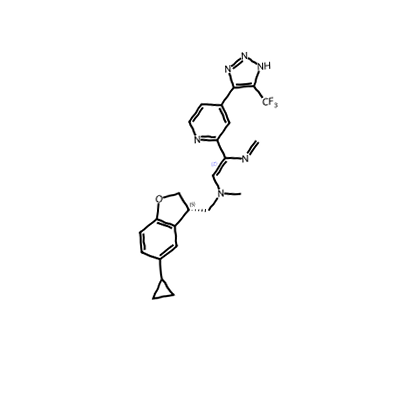 C=N/C(=C\N(C)C[C@H]1COc2ccc(C3CC3)cc21)c1cc(-c2nn[nH]c2C(F)(F)F)ccn1